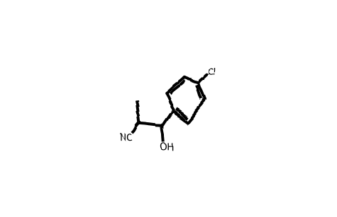 CC(C#N)C(O)c1ccc(Cl)cc1